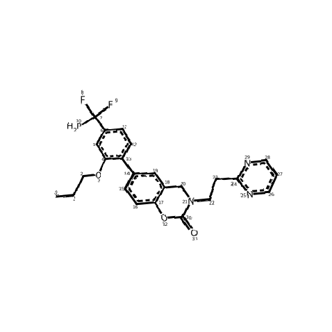 CCCOc1cc(C(F)(F)P)ccc1-c1ccc2c(c1)CN(CCc1ncccn1)C(=O)O2